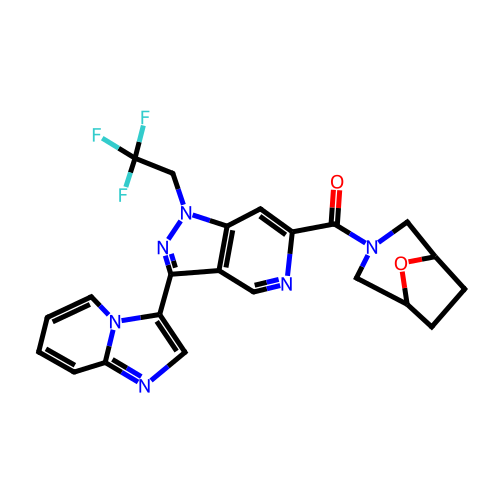 O=C(c1cc2c(cn1)c(-c1cnc3ccccn13)nn2CC(F)(F)F)N1CC2CCC(C1)O2